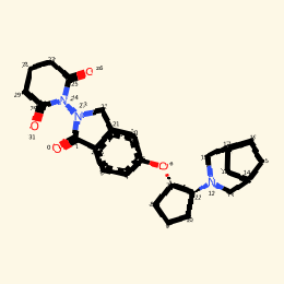 O=C1c2ccc(O[C@H]3CCC[C@@H]3N3CC4CCC(C4)C3)cc2CN1N1C(=O)CCCC1=O